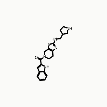 O=C(c1cc2ccccc2[nH]1)N1CCc2nc(NCC3CCNC3)sc2C1